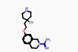 N#CC1(CCOc2ccc3c(c2)CN(C(=N)N)CC3)CCNCC1